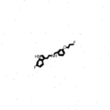 FCCCOc1cccc(CNCCc2c[nH]c3cc(F)ccc23)c1